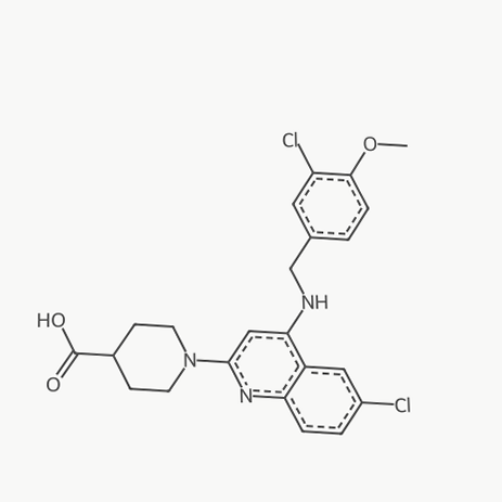 COc1ccc(CNc2cc(N3CCC(C(=O)O)CC3)nc3ccc(Cl)cc23)cc1Cl